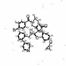 Cc1cc(C(=O)N2Cc3c(C(=O)NCc4ccccc4-c4ccncn4)n(-c4ccc(OC5CC5)cc4)c(=O)n3CC2C)ccc1Br